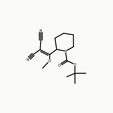 COC(=C(C#N)C#N)C1CCCCN1C(=O)OC(C)(C)C